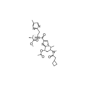 COC(=O)[C@@H](C)C[C@H](Cc1ncc(C)cn1)NC(=O)c1csc([C@@H](CC(C(C)C)N(C)C(=O)CC2CCC2)OC(C)=O)n1